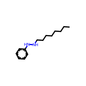 CCCCCCCCNNc1ccccc1